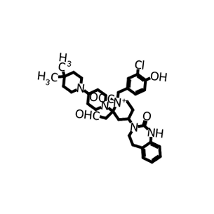 CC1(C)CCN(C2CCN(C3(CC=O)CC(N4CCc5ccccc5NC4=O)CC[N@+]3(Cc3ccc(O)c(Cl)c3)C(=O)[O-])CC2)CC1